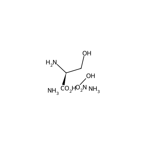 N.N.N[C@@H](CO)C(=O)O.O=[N+]([O-])O